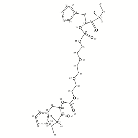 CCC(C)(C)C(=O)N(Cc1ccccc1)OC(=O)OCCOCCOCCOC(=O)ON(Cc1ccccc1)C(=O)C(C)(C)CC